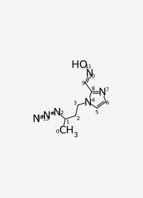 CC(CCn1ccnc1C=NO)N=[N+]=[N-]